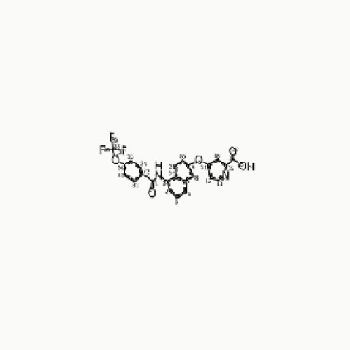 O=C(Nc1cccc2cc(Oc3ccnc(C(=O)O)c3)ccc12)c1ccc(OC(F)(F)F)cc1